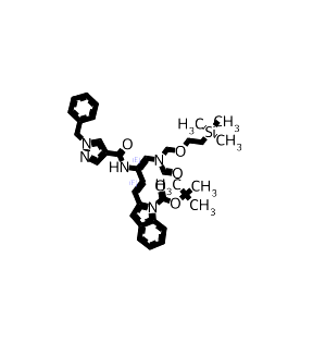 CC(C)(C)OC(=O)n1c(/C=C/C(=C\N(C=O)COCC[Si](C)(C)C)NC(=O)c2cnn(Cc3ccccc3)c2)cc2ccccc21